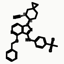 CS(=O)(=O)c1ccc(Nc2nn([C@@H]3CCC4(CC4)C[C@H]3C#N)c3ccnc(OCc4ccccc4)c23)cc1